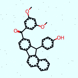 COc1cc(OC)cc(C(=O)c2ccc3c(c2)C(c2ccc(O)cc2)c2c-3ccc3ccccc23)c1